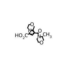 CC1COCCN1C(=O)c1cc(C(=O)O)n2c1COCC2